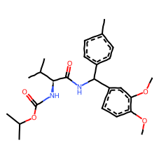 COc1ccc(C(NC(=O)[C@@H](NC(=O)OC(C)C)C(C)C)c2ccc(C)cc2)cc1OC